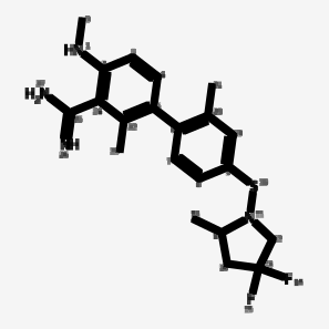 CNc1ccc(-c2ccc(SN3CC(F)(F)CC3C)cc2C)c(C)c1C(=N)N